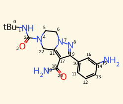 CC(C)(C)NC(=O)N1CCn2nc(-c3cccc(N)c3)c(C(N)=O)c2C1